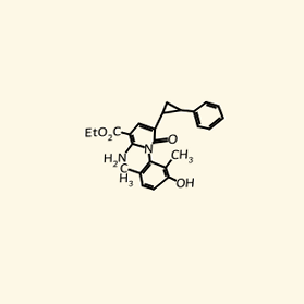 CCOC(=O)c1cc(C2CC2c2ccccc2)c(=O)n(-c2c(C)ccc(O)c2C)c1N